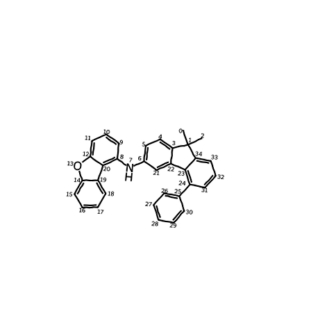 CC1(C)c2ccc(Nc3cccc4oc5ccccc5c34)cc2-c2c(-c3ccccc3)cccc21